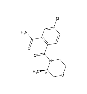 C[C@@H]1COCCN1C(=O)c1ccc(Cl)cc1C(N)=O